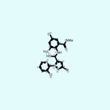 CNC(=O)c1cc(Cl)cc(C)c1NC(O)c1cc(Br)nn1-c1ncccc1Cl